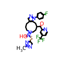 Cn1ncc(SN(O)N2CCCc3cnn(-c4ccc(F)cc4)c3CC(C(=O)c3cc(C(F)(F)F)ccn3)CC2)n1